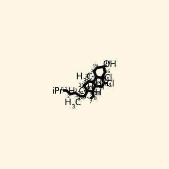 CC(C)CCC[C@@H](C)[C@H]1CC[C@H]2[C@@H]3CC(Cl)C4(Cl)C[C@@H](O)CC[C@]4(C)[C@H]3CC[C@]12C